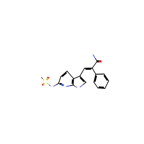 CS(=O)(=O)Nc1ccc2c(/C=C(/C(N)=O)c3ccccc3)c[nH]c2n1